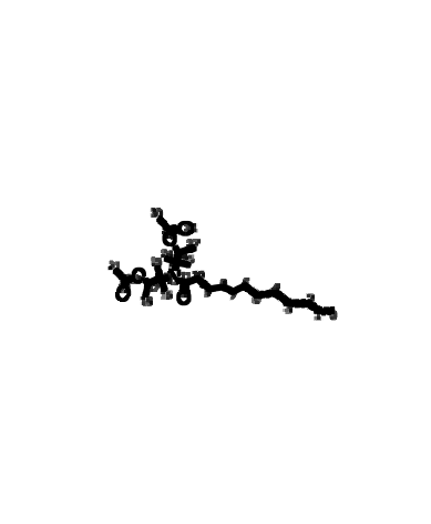 CCCCCCCCCCCC(=O)N(C(C)(C)C(C)OC(C)=O)C(C)(C)C(C)OC(C)=O